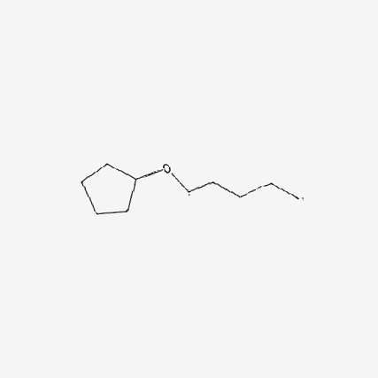 [CH2]CCC[CH]OC1CCCC1